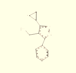 BrCc1c(-c2ccccc2)noc1C1CC1